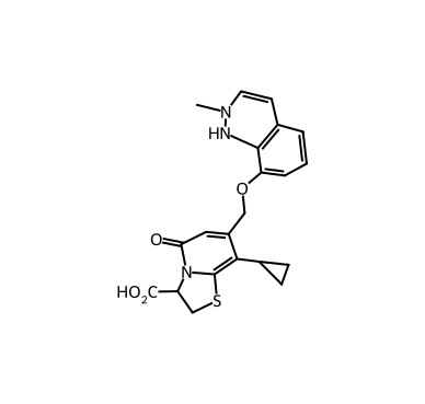 CN1C=Cc2cccc(OCc3cc(=O)n4c(c3C3CC3)SCC4C(=O)O)c2N1